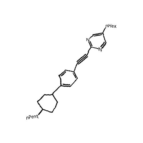 CCCCCCc1cnc(C#Cc2ccc(C3CCC(CCCCC)CC3)cc2)nc1